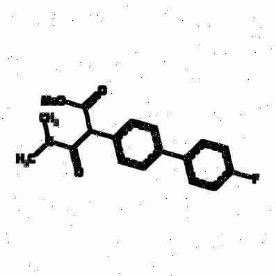 COC(=O)C(C(=O)N(C)C)c1ccc(-c2ccc(F)cc2)cc1